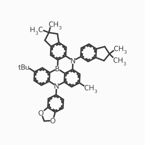 Cc1cc2c3c(c1)N(c1ccc4c(c1)CC(C)(C)C4)c1cc4c(cc1B3c1cc(C(C)(C)C)ccc1N2c1ccc2c(c1)OCO2)CC(C)(C)C4